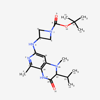 Cc1nc(NC2CN(C(=O)OC(C)(C)C)C2)cc2c1NC(=O)C(C(C)C)N2C